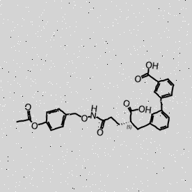 CC(=O)Oc1ccc(CONC(=O)CC[C@@H](Cc2cccc(-c3cccc(C(=O)O)c3)c2)C(=O)O)cc1